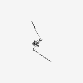 CCCCCCCCCCCCCCCC[N+](C)(C)CCCS(=O)(=O)OS(=O)(=O)CC(O)C[N+](C)(C)CCCCCCCCCCCCCCCC